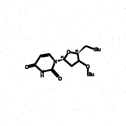 CC(C)(C)C[C@H]1O[C@@H](n2ccc(=O)[nH]c2=O)CC1OC(C)(C)C